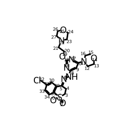 O=S1(=O)CCC(=NNc2cc(N3CCOCC3)nc(OCCN3CCOCC3)n2)c2cc(Cl)ccc21